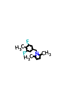 C=c1ccc(=C)n1Cc1cc(F)c(C)c(F)c1